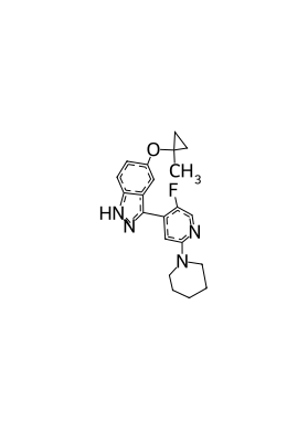 CC1(Oc2ccc3[nH]nc(-c4cc(N5CCCCC5)ncc4F)c3c2)CC1